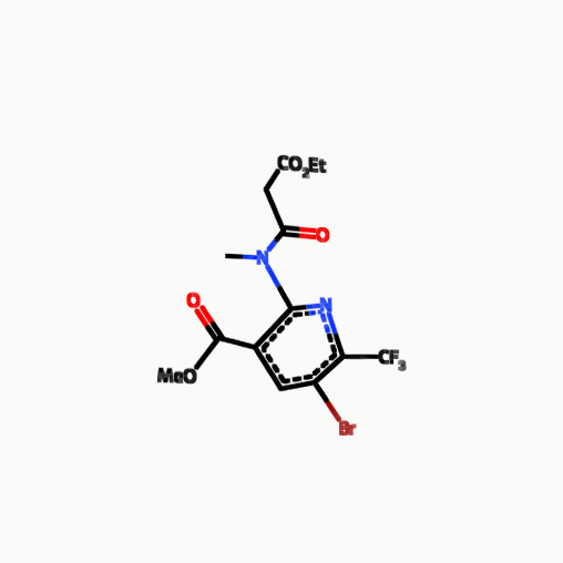 CCOC(=O)CC(=O)N(C)c1nc(C(F)(F)F)c(Br)cc1C(=O)OC